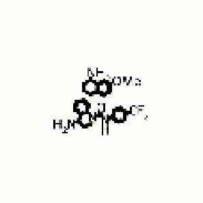 COc1ccc2c(c1)C(N)CCC2.NC1CCN(C(=O)Nc2ccc(C(F)(F)F)cc2)c2ccccc21